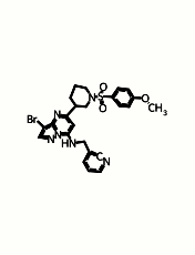 COc1ccc(S(=O)(=O)N2CCCC(c3cc(NCc4cccnc4)n4ncc(Br)c4n3)C2)cc1